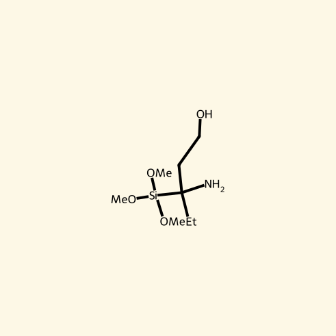 CCC(N)(CCO)[Si](OC)(OC)OC